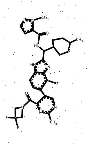 Cc1ncc(-c2ccc3[nH]c(C(NC(=O)c4ccnn4C)C4CCC(C)CC4)nc3c2F)c(C(=O)N2CC(F)(F)C2)n1